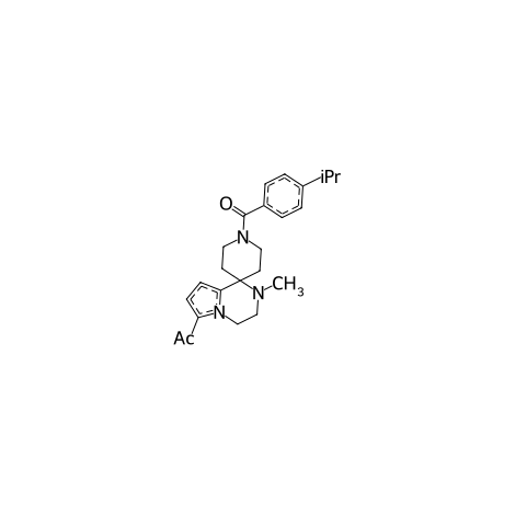 CC(=O)c1ccc2n1CCN(C)C21CCN(C(=O)c2ccc(C(C)C)cc2)CC1